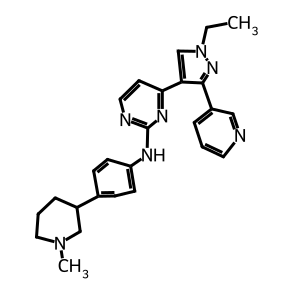 CCn1cc(-c2ccnc(Nc3ccc(C4CCCN(C)C4)cc3)n2)c(-c2cccnc2)n1